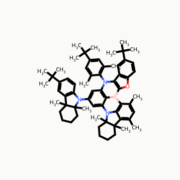 Cc1cc(C)c2c3c1B1c4oc5ccc(C(C)(C)C)cc5c4N(c4c(C)cc(C(C)(C)C)cc4C)c4cc(N5c6ccc(C(C)(C)C)cc6C6(C)CCCCC56C)cc(c41)N3C1(C)CCCCC21C